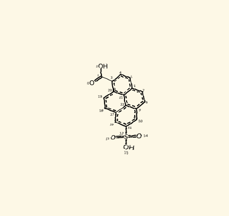 O=C(O)c1ccc2ccc3cc(S(=O)(=O)O)cc4ccc1c2c34